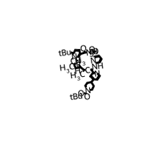 C[C@H]1CC(c2cc(C3CCN(C(=O)OC(C)(C)C)CC3)ccn2)Nc2cccc(n2)S(=O)(=O)NC(=O)c2ccc(C(C)(C)C)nc2N2C[C@@H]1CC2(C)C